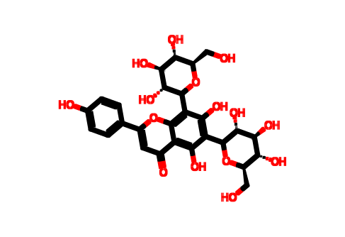 O=c1cc(-c2ccc(O)cc2)oc2c(C3O[C@H](CO)[C@@H](O)[C@H](O)[C@H]3O)c(O)c(C3O[C@H](CO)[C@@H](O)[C@H](O)[C@H]3O)c(O)c12